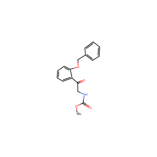 CC(C)(C)OC(=O)NCC(=O)c1ccccc1OCc1ccccc1